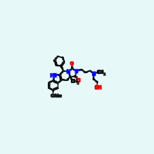 COc1ccc2[nH]c3c(c2c1)C[C@@]1(C)C(=O)N(CCCN(C)CCO)C(=O)N1[C@@H]3C1=CCCC=C1